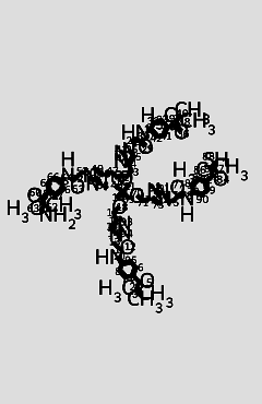 CC(C)(C)C(=O)c1ccc(NC(=O)Cn2cc(COCC(COCc3cn(CC(=O)Nc4ccc(C(=O)C(C)(C)C)cc4)nn3)(COCc3cn(CC(=O)Nc4ccc(C(=O)C(C)(C)N)cc4)nn3)COCc3cn(CC(=O)Nc4ccc(C(=O)C(C)(C)S)cc4)nn3)nn2)cc1